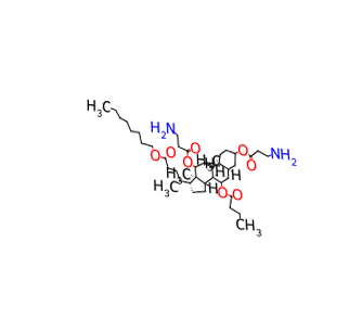 CCCCCCCCOC(=O)CC[C@@H](C)[C@H]1CC[C@H]2[C@@H]3[C@H](OC(=O)CCC)C[C@@H]4C[C@H](OC(=O)CCN)CC[C@]4(C)[C@H]3C[C@H](OC(=O)CCN)[C@]12C